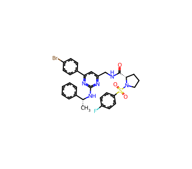 C[C@@H](Nc1nc(CNC(=O)[C@@H]2CCCN2S(=O)(=O)c2ccc(F)cc2)cc(-c2ccc(Br)cc2)n1)c1ccccc1